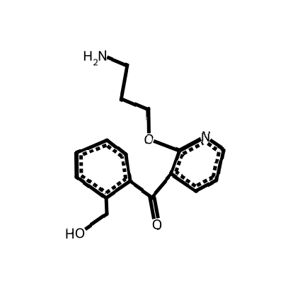 NCCCOc1ncccc1C(=O)c1ccccc1CO